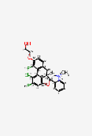 CNC[C@]1(c2ccccc2)Oc2cc(F)c(Cl)c3c2[C@@H]1Cc1ccc(OCCO)c(F)c1-3